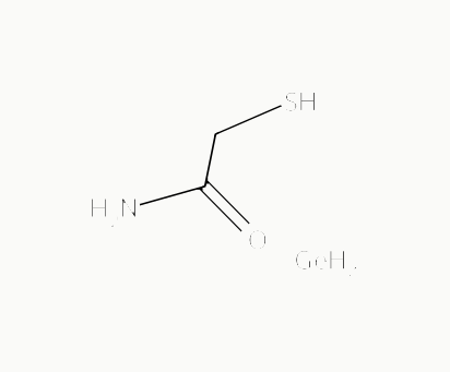 NC(=O)CS.[GeH4]